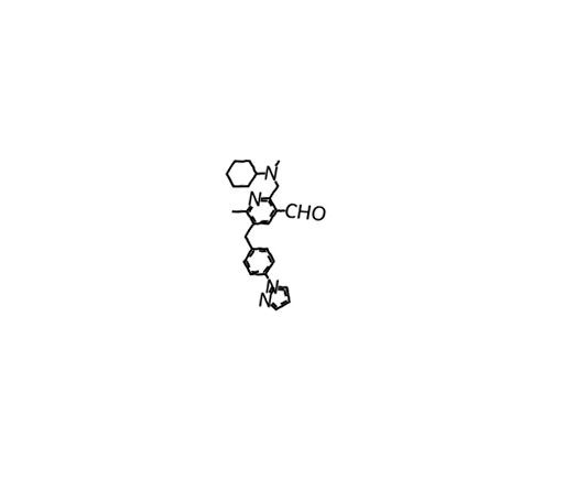 Cc1nc(CN(C)C2CCCCC2)c(C=O)cc1Cc1ccc(-n2cccn2)cc1